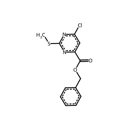 CSc1nc(Cl)cc(C(=O)OCc2ccccc2)n1